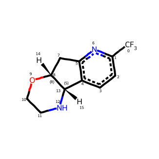 FC(F)(F)c1ccc2c(n1)C[C@H]1OCCN[C@@H]21